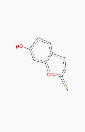 Oc1ccc2ccc(=S)oc2c1